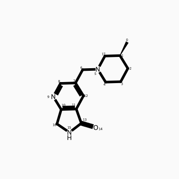 C[C@H]1CCCN(Cc2cnc3c(c2)C(=O)NC3)C1